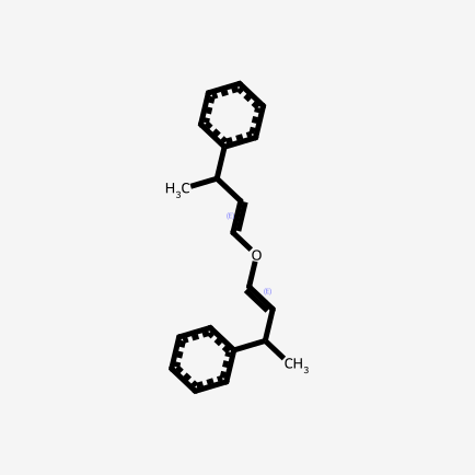 CC(/C=C/O/C=C/C(C)c1ccccc1)c1ccccc1